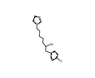 OC(CCCCCn1ccnc1)Cc1ccc(Cl)cc1